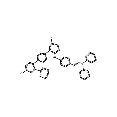 Clc1ccc(Nc2ccc(/C=N/N(c3ccccc3)c3ccccc3)cc2)c(-c2ccc(-c3ccc(Cl)cc3-c3ccccc3)cc2)c1